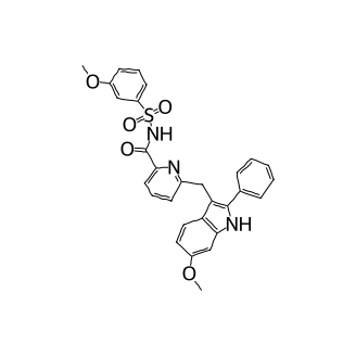 COc1cccc(S(=O)(=O)NC(=O)c2cccc(Cc3c(-c4ccccc4)[nH]c4cc(OC)ccc34)n2)c1